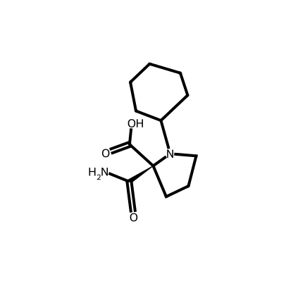 NC(=O)[C@]1(C(=O)O)CCCN1C1CCCCC1